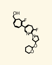 OCC1=CC=CC(C2=CCC(F)=C(N3CCC(OC4CCCCO4)C3)N=C2)=C(F)C1